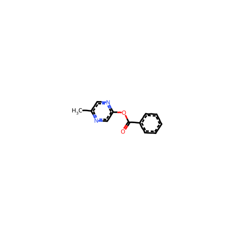 Cc1cnc(OC(=O)c2ccccc2)cn1